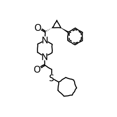 O=C(CSC1CCCCCC1)N1CCN(C(=O)[C@@H]2C[C@H]2c2ccccc2)CC1